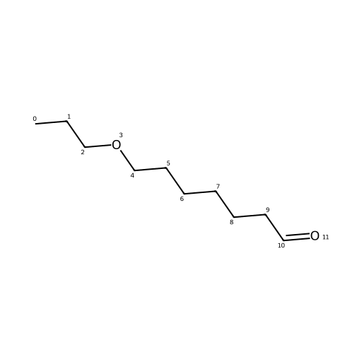 CCCOCCCCCCC=O